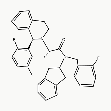 Cc1ccc(F)c([C@H]2c3ccccc3CCN2[C@@H](C)C(=O)N(Cc2ccccc2F)C2Cc3ccccc3C2)c1